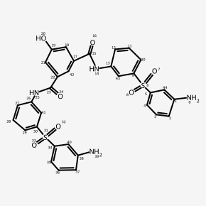 Nc1cccc(S(=O)(=O)c2cccc(NC(=O)c3cc(O)cc(C(=O)Nc4cccc(S(=O)(=O)c5cccc(N)c5)c4)c3)c2)c1